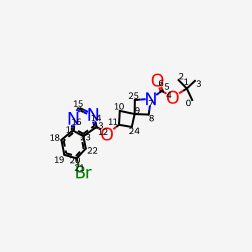 CC(C)(C)OC(=O)N1CC2(CC(Oc3ncnc4ccc(Br)cc34)C2)C1